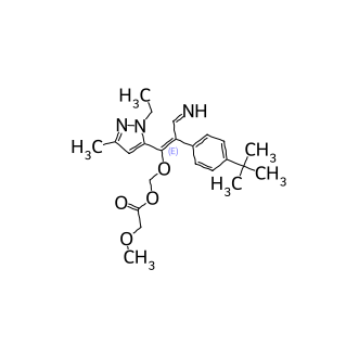 CCn1nc(C)cc1/C(OCOC(=O)COC)=C(\C=N)c1ccc(C(C)(C)C)cc1